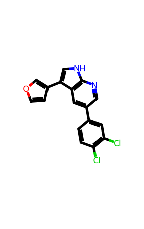 Clc1ccc(-c2cnc3[nH]cc(-c4ccoc4)c3c2)cc1Cl